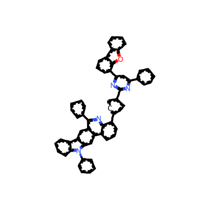 c1ccc(-c2cc(-c3cccc4c3oc3ccccc34)nc(-c3ccc(-c4cccc5c4nc(-c4ccccc4)c4cc6c7ccccc7n(-c7ccccc7)c6cc45)cc3)n2)cc1